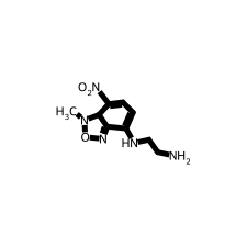 CN1ON=C2C(NCCN)=CC=C([N+](=O)[O-])C21